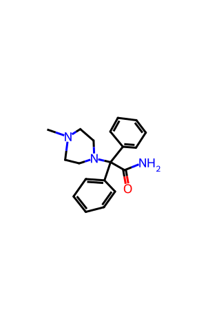 CN1CCN(C(C(N)=O)(c2ccccc2)c2ccccc2)CC1